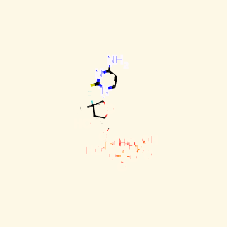 Nc1ccn([C@@H]2O[C@H](COP(=O)(O)OP(=O)(O)OP(=O)(O)O)[C@H](O)C2(F)C(F)(F)F)c(=S)n1